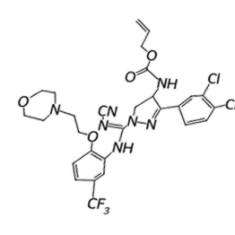 C=CCOC(=O)NC1CN(/C(=N\C#N)Nc2cc(C(F)(F)F)ccc2OCCN2CCOCC2)N=C1c1ccc(Cl)c(Cl)c1